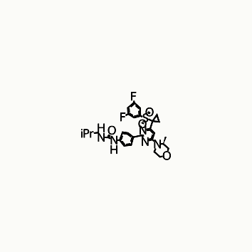 CC(C)CNC(=O)Nc1ccc(-c2nc(N3CCOC[C@@H]3C)cc(C3(S(=O)(=O)c4cc(F)cc(F)c4)CC3)n2)cc1